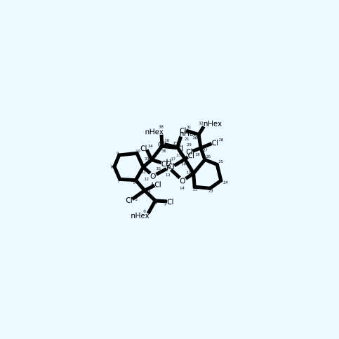 CCCCCCC(Cl)C(Cl)(Cl)C1CCCCC1(OPOC1(C(Cl)(Cl)C(Cl)CCCCCC)CCCCC1C(Cl)(Cl)C(Cl)CCCCCC)C(Cl)(Cl)C(Cl)CCCCCC